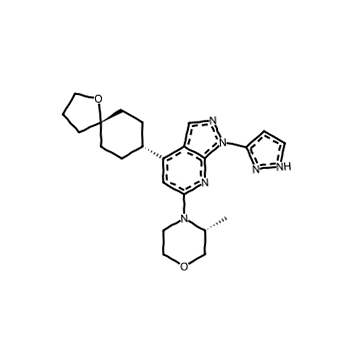 C[C@@H]1COCCN1c1cc([C@H]2CC[C@]3(CCCO3)CC2)c2cnn(-c3cc[nH]n3)c2n1